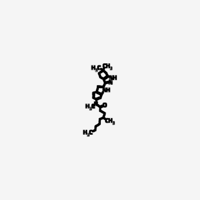 CCCCCC(C)CCC(=O)N(C)c1ccc2cc(-c3n[nH]c4c3CCC(C)(C)C4)[nH]c2c1